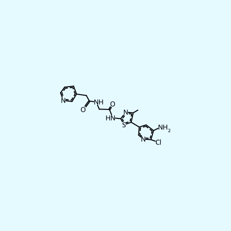 Cc1nc(NC(=O)CNC(=O)Cc2cccnc2)sc1-c1cnc(Cl)c(N)c1